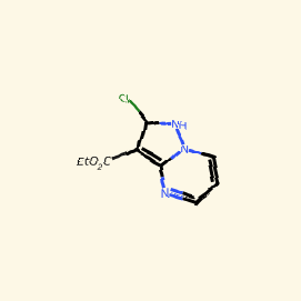 CCOC(=O)C1=C2N=CC=CN2NC1Cl